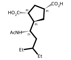 CCC(CC)C[C@H](NC(C)=O)[C@@H]1C[C@@H](C(=O)O)C[C@H]1C(=O)O